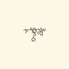 CCN(CC)CCN(C)c1nc(/C=C2/SC(=O)NC2=O)cc(OCc2ccccc2)n1